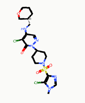 Cn1cnc(S(=O)(=O)N2CCC(n3ncc(NC[C@H]4CCCOC4)c(Cl)c3=O)CC2)c1Cl